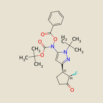 CC(C)(C)OC(=O)N(OC(=O)c1ccccc1)c1cc([C@@H]2CCC(=O)[C@@H]2F)nn1C(C)(C)C